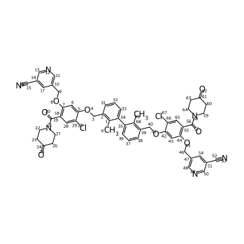 Cc1c(COc2cc(OCc3cncc(C#N)c3)c(C(=O)N3CCC(=O)CC3)cc2Cl)cccc1-c1cccc(COc2cc(OCc3cncc(C#N)c3)c(C(=O)N3CCC(=O)CC3)cc2Cl)c1C